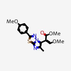 COC=C(C(=O)OC)c1c(C)nc2sc(-c3ccc(OC)cc3)nn12